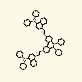 C(=C\c1ccc(N(c2ccccc2)c2ccccc2)c2ccccc12)/c1ccc2c(-c3ccccc3)c(-c3ccccc3)c3ccc(/C=C/c4ccc(N(c5ccccc5)c5ccccc5)c5ccccc45)cc3c2c1